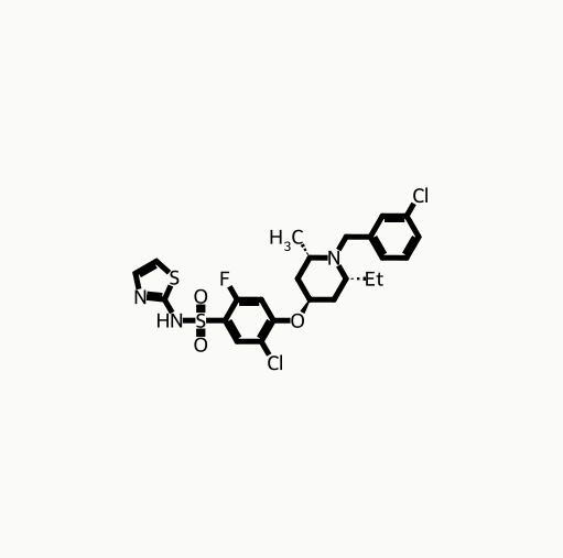 CC[C@@H]1C[C@@H](Oc2cc(F)c(S(=O)(=O)Nc3nccs3)cc2Cl)C[C@H](C)N1Cc1cccc(Cl)c1